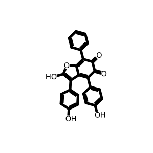 O=C1C(=O)C(c2ccc(O)cc2)=c2c(-c3ccc(O)cc3)c(O)oc2=C1c1ccccc1